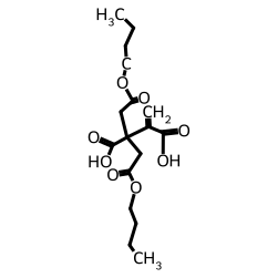 C=C(C(=O)O)C(CC(=O)OCCCC)(CC(=O)OCCCC)C(=O)O